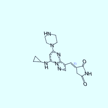 O=C1C/C(=C\c2cnn3c(NC4CC4)cc(N4CCNCC4)nc23)C(=O)N1